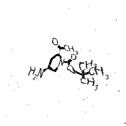 CC(=O)[C@H]1C[C@H](N)CN1C(=O)OC(C)(C)C